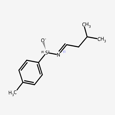 Cc1ccc([S@+]([O-])/N=C/CC(C)C)cc1